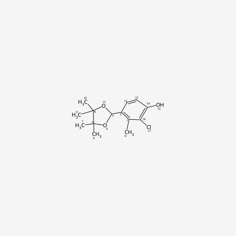 Cc1c(C2OC(C)(C)C(C)(C)O2)ccc(O)c1Cl